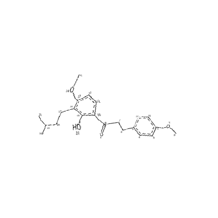 COc1ccc(CCC(=O)c2ccc(OC)c(CCC(C)C)c2O)cc1